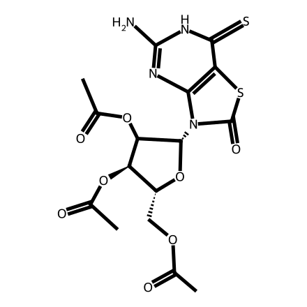 CC(=O)OC[C@H]1O[C@@H](n2c(=O)sc3c(=S)[nH]c(N)nc32)C(OC(C)=O)[C@@H]1OC(C)=O